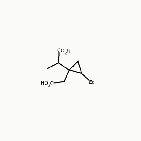 CCC1CC1(CC(=O)O)C(C)C(=O)O